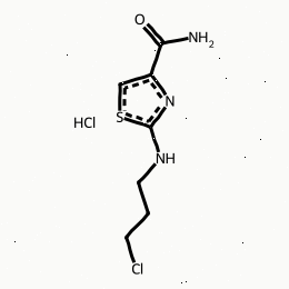 Cl.NC(=O)c1csc(NCCCCl)n1